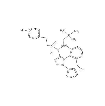 COc1cccc(CO)c1-n1c(-c2ccco2)nnc1N(CC[Si](C)(C)C)S(=O)(=O)CCc1ccc(Cl)cc1